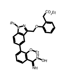 CCOC(=O)Cc1ccccc1OCc1nn(C(C)C)c2ccc(-c3cccc(C(=N)NO)c3OCC)cc12